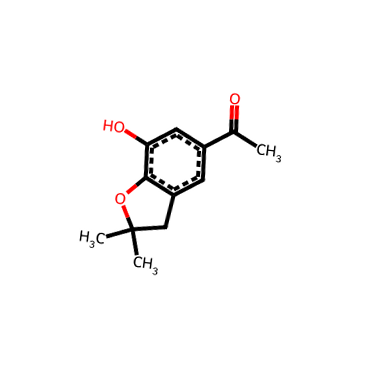 CC(=O)c1cc(O)c2c(c1)CC(C)(C)O2